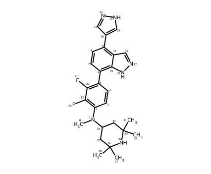 CN(c1ccc(-c2ccc(-c3cn[nH]c3)c3cn[nH]c23)c(F)c1F)C1CC(C)(C)NC(C)(C)C1